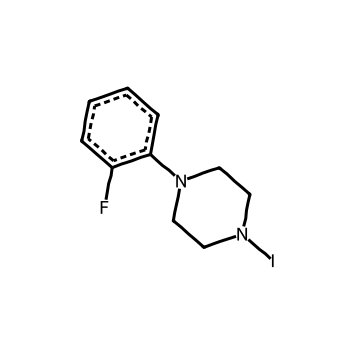 Fc1ccccc1N1CCN(I)CC1